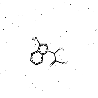 COC(=O)C(C)n1cc([N+](=O)[O-])c2ccccc21